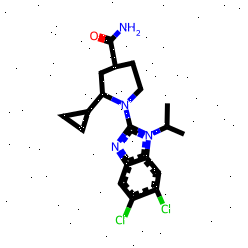 CC(C)n1c(N2CCC(C(N)=O)CC2C2CC2)nc2cc(Cl)c(Cl)cc21